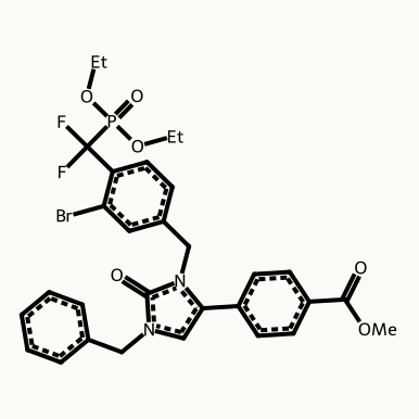 CCOP(=O)(OCC)C(F)(F)c1ccc(Cn2c(-c3ccc(C(=O)OC)cc3)cn(Cc3ccccc3)c2=O)cc1Br